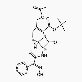 CC(=O)OCC1=C(C(=O)OC(C)(C)C)N2C(=O)[C@@H](NC(=O)C(=NO)c3ccccc3)[C@H]2SC1